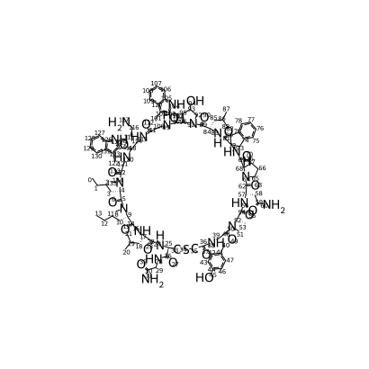 CCCC[C@H]1C(=O)N(C)[C@@H](CCCC)C(=O)N[C@@H](CC(C)C)C(=O)N[C@H](C(=O)NCC(N)=O)CSCC(=O)N[C@@H](Cc2ccc(O)cc2)C(=O)N(C)[C@@H](C)C(=O)N[C@@H](CC(N)=O)C(=O)N2CCC[C@H]2C(=O)NC2(Cc3ccccc3C2)C(=O)N[C@@H](CC(C)C)C(=O)N2C[C@H](O)C[C@H]2C(=O)N[C@@H](Cc2c[nH]c3ccccc23)C(=O)N[C@@H](CCN)C(=O)N[C@@H](Cc2c[nH]c3ccccc23)C(=O)N1C